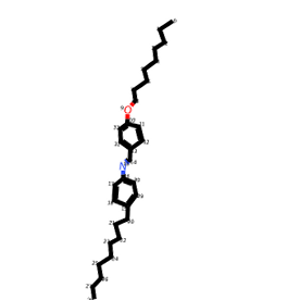 CCCCCCCCCOc1ccc(C=Nc2ccc(CCCCCCCCC)cc2)cc1